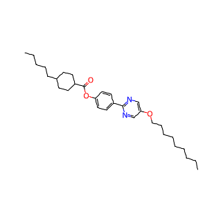 CCCCCCCCCOc1cnc(-c2ccc(OC(=O)C3CCC(CCCCC)CC3)cc2)nc1